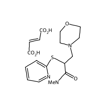 CNC(=O)C(CN1CCOCC1)Sc1ccccn1.O=C(O)C=CC(=O)O